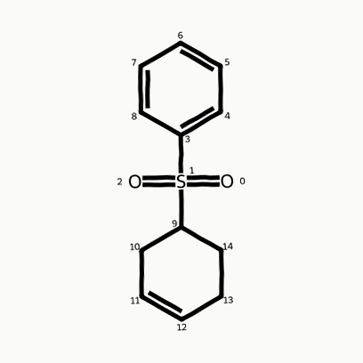 O=S(=O)(c1ccccc1)C1CC=CCC1